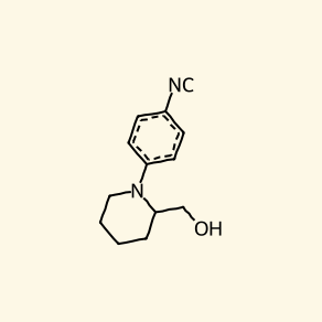 [C-]#[N+]c1ccc(N2CCCCC2CO)cc1